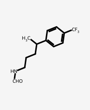 CC(CCCNC=O)c1ccc(C(F)(F)F)cc1